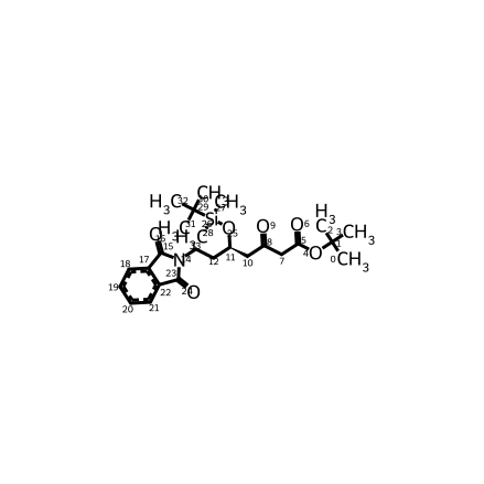 CC(C)(C)OC(=O)CC(=O)C[C@@H](CCN1C(=O)c2ccccc2C1=O)O[Si](C)(C)C(C)(C)C